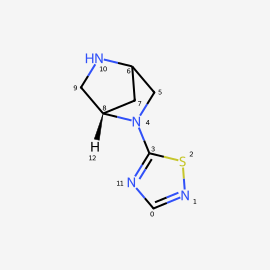 c1nsc(N2CC3C[C@H]2CN3)n1